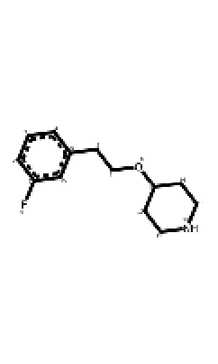 Fc1cccc(CCOC2CCNCC2)c1